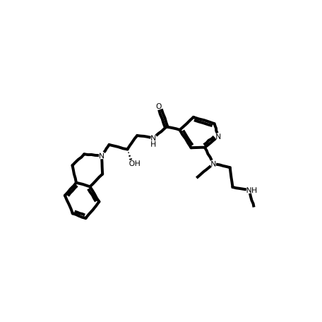 CNCCN(C)c1cc(C(=O)NC[C@H](O)CN2CCc3ccccc3C2)ccn1